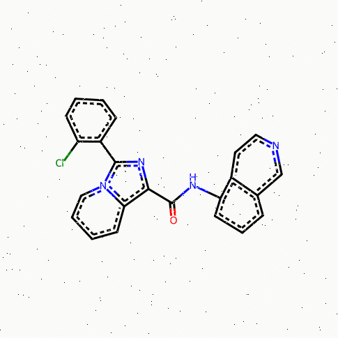 O=C(Nc1cccc2cnccc12)c1nc(-c2ccccc2Cl)n2ccccc12